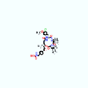 COc1ccc(C[C@H]2NC(=O)/C=C/C[C@@H](C(C)[C@H]3O[C@@H]3c3ccc(CNC(=O)O)cc3)OC(=O)[C@H](CC(C)(C)C)NC(=O)C(C)(C)[C@H](C)NC2=O)cc1Cl